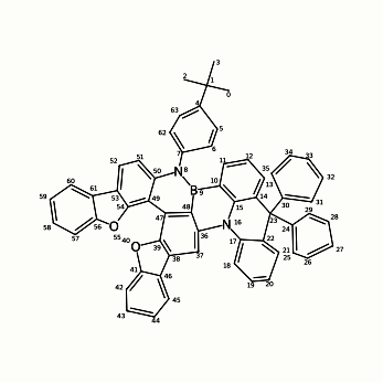 CC(C)(C)c1ccc(N2B3c4cccc5c4N(c4ccccc4C5(c4ccccc4)c4ccccc4)c4cc5c(oc6ccccc65)c(c43)-c3c2ccc2c3oc3ccccc32)cc1